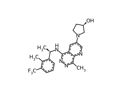 Cc1c([C@@H](C)Nc2nnc(C)c3ncc(N4CC[C@@H](O)C4)cc23)cccc1C(F)(F)F